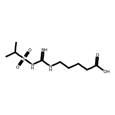 CC(C)S(=O)(=O)NC(=N)NCCCCC(=O)O